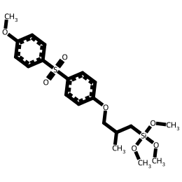 COc1ccc(S(=O)(=O)c2ccc(OCC(C)C[Si](OC)(OC)OC)cc2)cc1